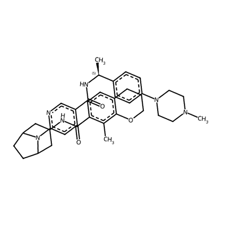 Cc1c(C(=O)NC2CC3CCC(C2)N3c2ccc(C(=O)N[C@@H](C)c3ccc(N4CCN(C)CC4)cc3)cn2)ccc2c1OCCC2